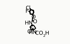 O=C(O)NC12CCC(NC(=O)COc3ccc(Cl)c(F)c3)(CC1)CC2=O